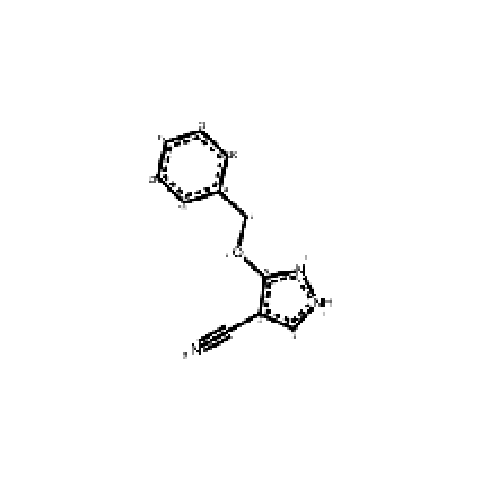 N#Cc1c[nH]nc1OCc1ccccc1